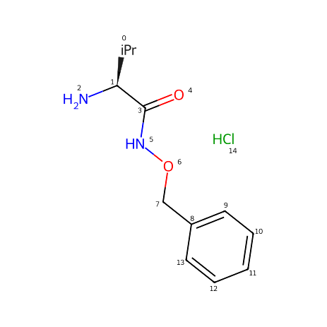 CC(C)[C@H](N)C(=O)NOCc1ccccc1.Cl